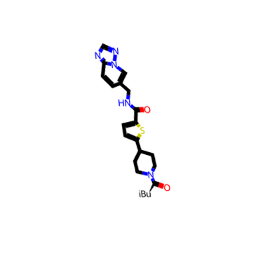 CC[C@H](C)C(=O)N1CCC(c2ccc(C(=O)NCc3ccc4ncnn4c3)s2)CC1